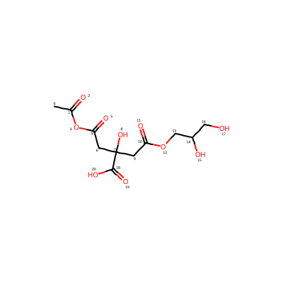 CC(=O)OC(=O)CC(O)(CC(=O)OCC(O)CO)C(=O)O